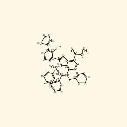 COC(=O)c1cnc(N(Cc2ccccc2)Cc2ccccc2)c2c1cc(-c1cccc(-c3ncco3)c1F)n2S(=O)(=O)c1ccccc1